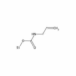 C=C[CH]NC(=O)OCC